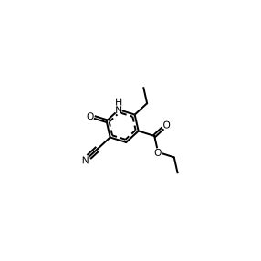 CCOC(=O)c1cc(C#N)c(=O)[nH]c1CC